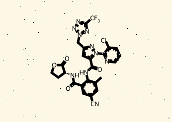 Cc1cc(C#N)cc(C(=O)N[C@@H]2CCOC2=O)c1NC(=O)c1cc(Cn2nnc(C(F)(F)F)n2)nn1-c1ncccc1Cl